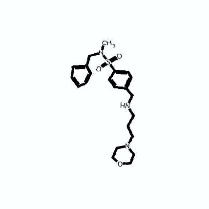 CN(Cc1ccccc1)S(=O)(=O)c1ccc(CNCCCN2CCOCC2)cc1